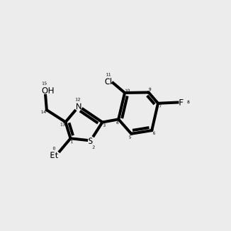 CCc1sc(-c2ccc(F)cc2Cl)nc1CO